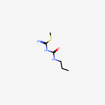 CCCNC(=O)NC(=N)SC